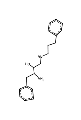 NC(Cc1ccccc1)C(O)CNCCCc1ccccc1